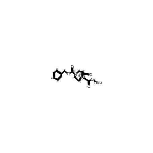 CC(C)(C)OC(=O)N1CC2COCC(CN(C(=O)OCc3ccccc3)C2)C1=O